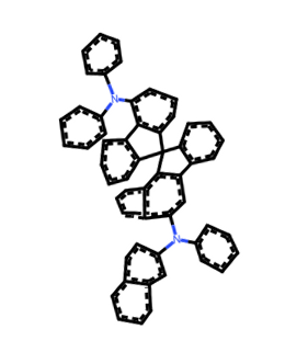 c1ccc(N(c2ccccc2)c2cccc3c2-c2ccccc2C32c3ccccc3-c3cc(N(c4ccccc4)c4ccc5ccccc5c4)c4ccccc4c32)cc1